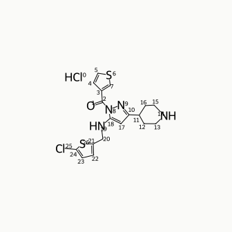 Cl.O=C(c1ccsc1)n1nc(C2CCNCC2)cc1NCc1ccc(Cl)s1